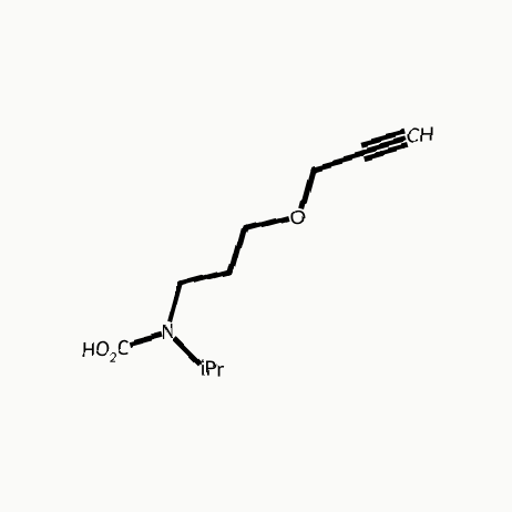 C#CCOCCCN(C(=O)O)C(C)C